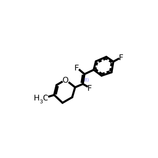 CC1=COC(/C(F)=C(\F)c2ccc(F)cc2)CC1